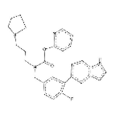 O=C(Oc1ccccn1)N(CCCN1CCCC1)Cc1ccc(F)c(-c2ccc3[nH]ccc3c2)c1